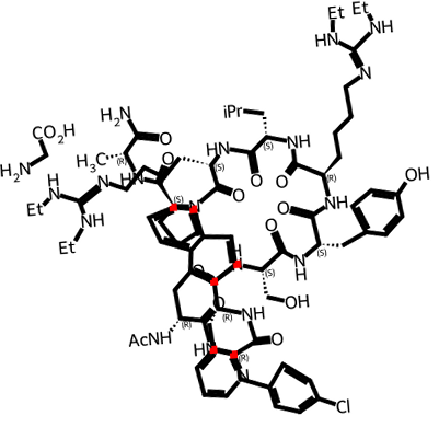 CCNC(=NCCCC[C@H](NC(=O)[C@H](CC(C)C)NC(=O)[C@@H](CCCCN=C(NCC)NCC)NC(=O)[C@H](Cc1ccc(O)cc1)NC(=O)[C@H](CO)NC(=O)[C@@H](Cc1cccnc1)NC(=O)[C@@H](Cc1ccc(Cl)cc1)NC(=O)[C@@H](Cc1cccc2ccccc12)NC(C)=O)C(=O)N1CCC[C@H]1C(=O)N[C@H](C)C(N)=O)NCC.NCC(=O)O